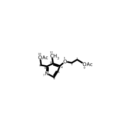 CC(=O)OCCOc1ccnc(COC(C)=O)c1C